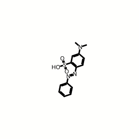 CN(C)c1ccc(N=Nc2ccccc2)c(S(=O)(=O)O)c1